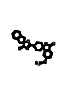 COc1ccc2c(c1)C1(CCN(C3=NC(=O)C4(Cc5ccccc5C4)O3)CC1)OC2=O